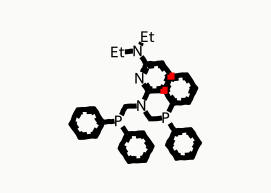 CCN(CC)c1cccc(N(CP(c2ccccc2)c2ccccc2)CP(c2ccccc2)c2ccccc2)n1